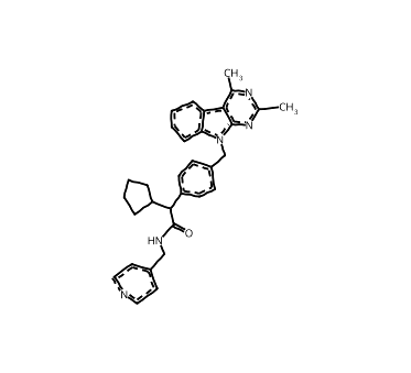 Cc1nc(C)c2c3ccccc3n(Cc3ccc(C(C(=O)NCc4ccncc4)C4CCCC4)cc3)c2n1